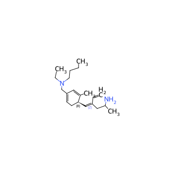 C=C/C(=C\[C@H]1CC=C(CN(CC)CCCC)C=C1C)CC(C)N